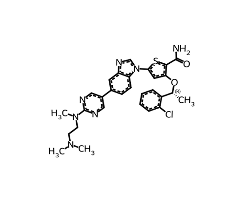 C[C@@H](Oc1cc(-n2cnc3cc(-c4cnc(N(C)CCN(C)C)nc4)ccc32)sc1C(N)=O)c1ccccc1Cl